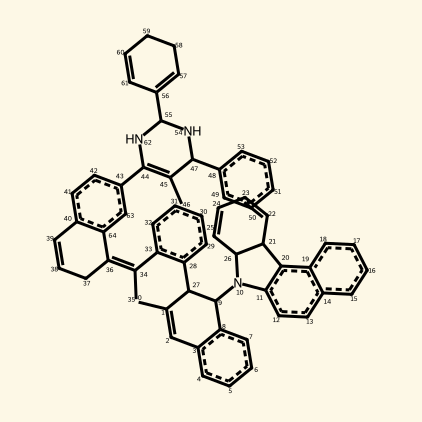 CC1=Cc2ccccc2C(N2c3ccc4ccccc4c3C3C=CC=CC32)C1c1ccccc1/C(C)=C1/CC=Cc2ccc(C3=C(C)C(c4ccccc4)NC(C4=CCCC=C4)N3)cc21